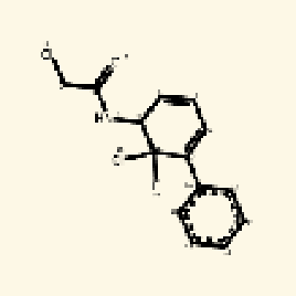 O=C(CCl)NC1C=CC=C(c2ccccc2)C1(F)Cl